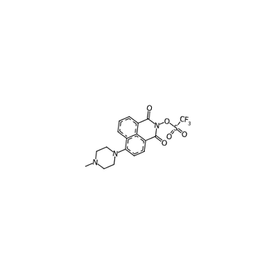 CN1CCN(c2ccc3c4c(cccc24)C(=O)N(OS(=O)(=O)C(F)(F)F)C3=O)CC1